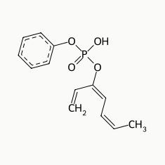 C=C/C(=C\C=C/C)OP(=O)(O)Oc1ccccc1